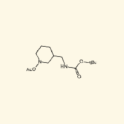 CC(=O)ON1CCCC(CNC(=O)OC(C)(C)C)C1